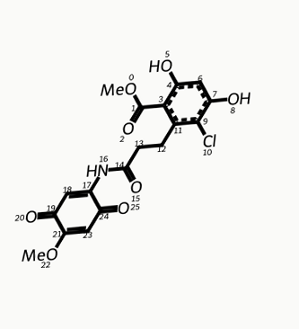 COC(=O)c1c(O)cc(O)c(Cl)c1CCC(=O)NC1=CC(=O)C(OC)=CC1=O